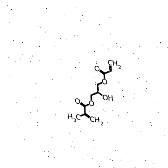 C=CC(=O)O[CH]C(O)COC(=O)C(=C)C